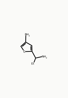 Bc1coc(C(N)CC)c1